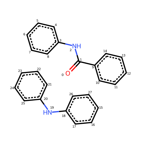 O=C(Nc1ccccc1)c1ccccc1.c1ccc(Nc2ccccc2)cc1